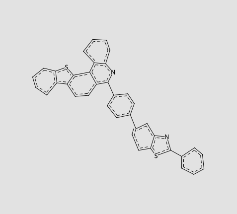 c1ccc(-c2nc3cc(-c4ccc(-c5nc6ccccc6c6c5ccc5c7ccccc7sc56)cc4)ccc3s2)cc1